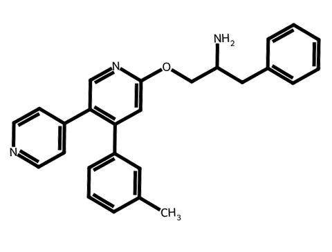 Cc1cccc(-c2cc(OCC(N)Cc3ccccc3)ncc2-c2ccncc2)c1